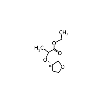 CCOC(=O)C(C)O[C@H]1CCOC1